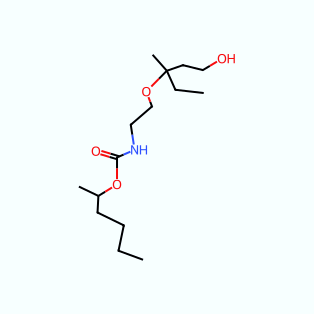 CCCCC(C)OC(=O)NCCOC(C)(CC)CCO